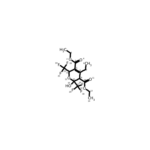 CCOC(=O)C1=C(CC)C(C(=O)OCC)C(O)(C(F)(F)F)OC1C(F)(F)F